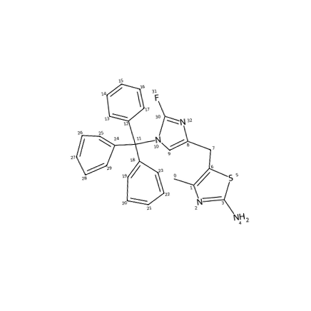 Cc1nc(N)sc1Cc1cn(C(c2ccccc2)(c2ccccc2)c2ccccc2)c(F)n1